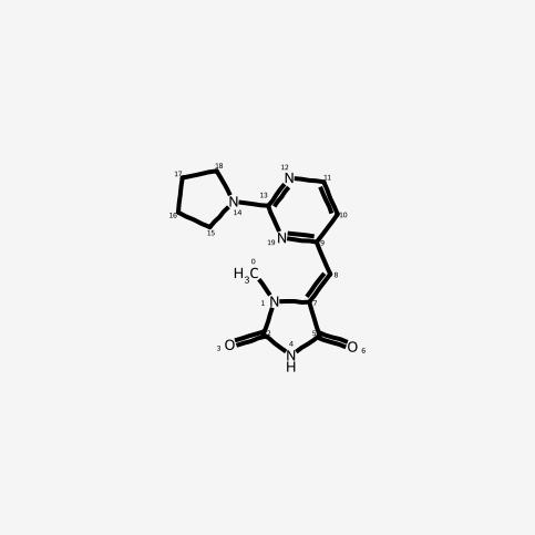 CN1C(=O)NC(=O)C1=Cc1ccnc(N2CCCC2)n1